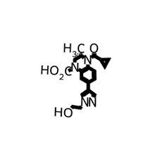 C[C@H]1CN(C(=O)O)c2cc(-c3cnn(CCO)c3)ccc2N1C(=O)C1CC1